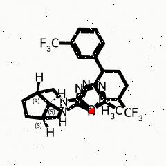 Cc1nnc(N2C[C@H]3CC[C@@H](C2)[C@@H]3Nc2nc3n(n2)C(C(F)(F)F)CCC3c2cccc(C(F)(F)F)c2)o1